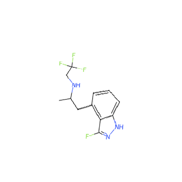 CC(Cc1cccc2[nH]nc(F)c12)NCC(F)(F)F